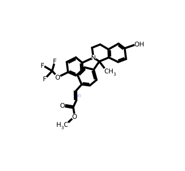 COC(=O)/C=C/c1ccc(C2(C)c3ccc(O)cc3CCN2c2ccc(OC(F)(F)F)cc2)cc1